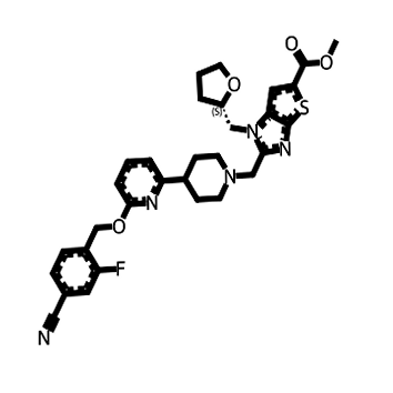 COC(=O)c1cc2c(nc(CN3CCC(c4cccc(OCc5ccc(C#N)cc5F)n4)CC3)n2C[C@@H]2CCCO2)s1